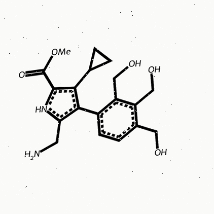 COC(=O)c1[nH]c(CN)c(-c2ccc(CO)c(CO)c2CO)c1C1CC1